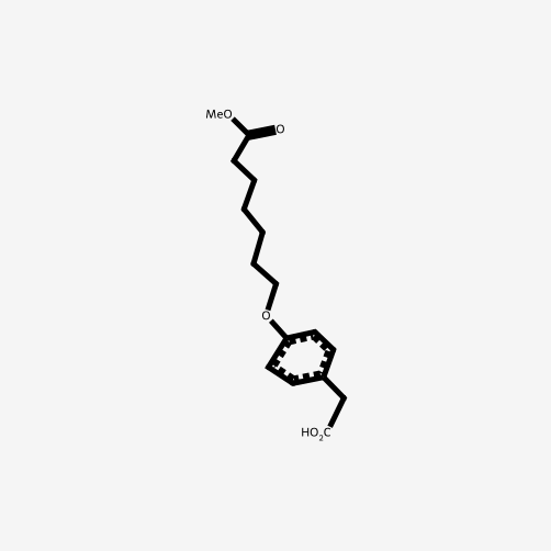 COC(=O)CCCCCCOc1ccc(CC(=O)O)cc1